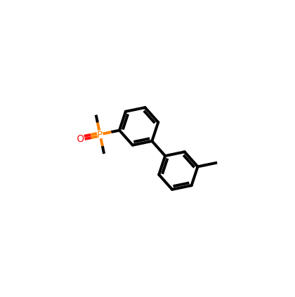 Cc1cccc(-c2cccc(P(C)(C)=O)c2)c1